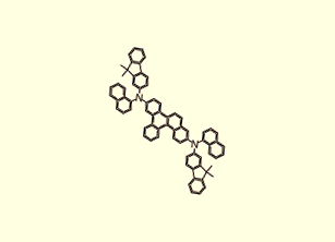 CC1(C)c2ccccc2-c2ccc(N(c3ccc4c(ccc5c6ccc(N(c7ccc8c(c7)C(C)(C)c7ccccc7-8)c7cccc8ccccc78)cc6c6ccccc6c45)c3)c3cccc4ccccc34)cc21